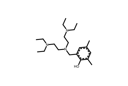 CCN(CC)CCN(CCN(CC)CC)Cc1cc(C)cc(C)c1O